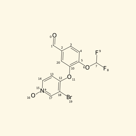 O=Cc1ccc(OC(F)F)c(Oc2cc[n+]([O-])cc2Br)c1